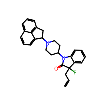 C=CCC1(F)C(=O)N(C2CCN(C3Cc4cccc5cccc3c45)CC2)c2ccccc21